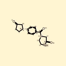 O=C1CC[C@@H](c2ccc(C(=O)N3CCNC(=O)C3)cc2)C1